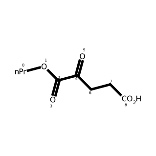 CCCOC(=O)C(=O)CCC(=O)O